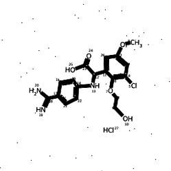 COc1cc(Cl)c(OCCO)c(C(Nc2ccc(C(=N)N)cc2)C(=O)O)c1.Cl